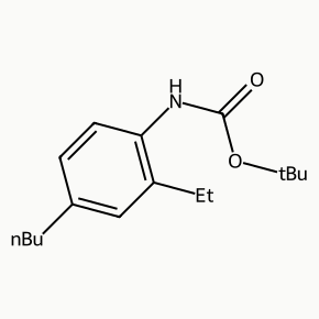 CCCCc1ccc(NC(=O)OC(C)(C)C)c(CC)c1